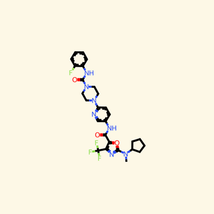 CN(c1nc(C(F)(F)F)c(C(=O)Nc2ccc(N3CCN(C(=O)Nc4ccccc4F)CC3)nc2)o1)C1CCCC1